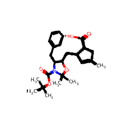 CC1=CC(CC2OC(C)(C)N(C(=O)OC(C)(C)C)C2Cc2ccccc2)C(C(=O)O)C1